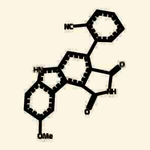 COc1ccc2[nH]c3cc(-c4ccccc4C#N)c4c(c3c2c1)C(=O)NC4=O